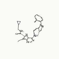 Cc1ccccc1-n1ncc2c1CCN(c1ncnc3c1nc(C(=O)NCC1CC1)n3C)C2